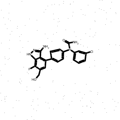 NC(=O)N(c1ccc(-c2cc(CO)c(F)c3[nH]nc(N)c23)cc1)c1cccc(Cl)c1